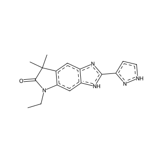 CCN1C(=O)C(C)(C)c2cc3nc(-c4cc[nH]n4)[nH]c3cc21